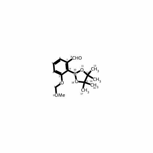 COCOc1cccc(C=O)c1B1OC(C)(C)C(C)(C)O1